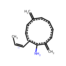 C=c1ccccc(=C)c(N)c(/C=C\C)cc1